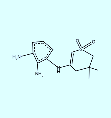 CC1(C)CC(Nc2cccc(N)c2N)=CS(=O)(=O)C1